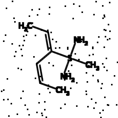 C/C=C\C(=C/C)S(C)(N)N